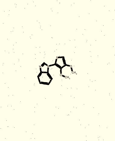 COc1csc(-n2cnc3ccccc32)c1OC